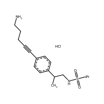 CC(CNS(=O)(=O)C(C)C)c1ccc(C#CCCCN)cc1.Cl